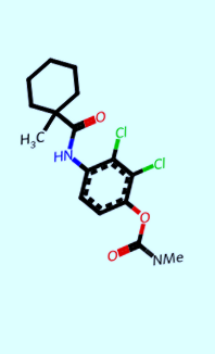 CNC(=O)Oc1ccc(NC(=O)C2(C)CCCCC2)c(Cl)c1Cl